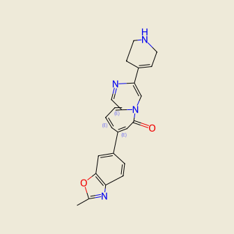 Cc1nc2ccc(C3=C\C(=O)N4C=C(C5=CCNCC5)N=C\C4=C/C=C/3)cc2o1